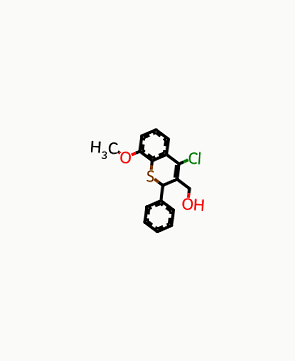 COc1cccc2c1SC(c1ccccc1)C(CO)=C2Cl